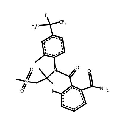 Cc1cc(C(F)(C(F)(F)F)C(F)(F)F)ccc1N(C(=O)c1c(I)cccc1C(N)=O)C(C)(C)CS(C)(=O)=O